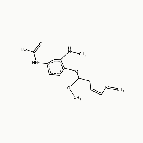 C=N/C=C\CC(OC)Oc1ccc(NC(C)=O)cc1NC